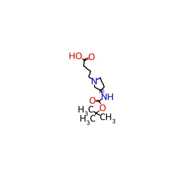 CC(C)(C)OC(=O)N[C@@H]1CCN(CCCC(=O)O)C1